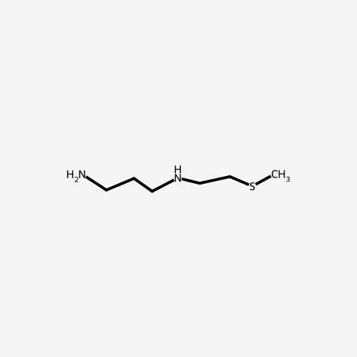 CSCCNCCCN